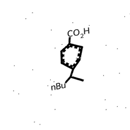 CCCCC(C)c1ccc(C(=O)O)cc1